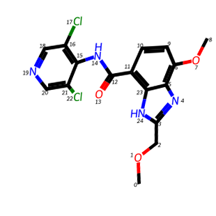 COCc1nc2c(OC)ccc(C(=O)Nc3c(Cl)cncc3Cl)c2[nH]1